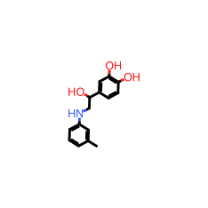 Cc1cccc(NCC(O)c2ccc(O)c(O)c2)c1